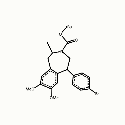 COc1cc2c(cc1OC)C(c1ccc(Br)cc1)CN(C(=O)OC(C)(C)C)C(C)C2